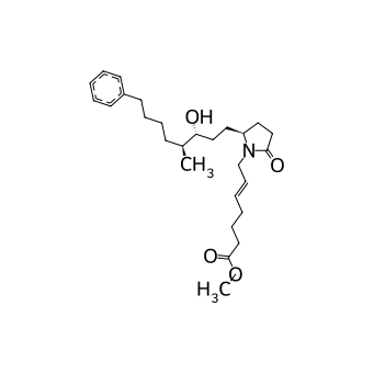 COC(=O)CCC/C=C/CN1C(=O)CC[C@@H]1CC[C@@H](O)[C@@H](C)CCCCc1ccccc1